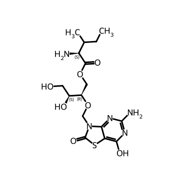 CCC(C)[C@H](N)C(=O)OC[C@@H](OCn1c(=O)sc2c(O)nc(N)nc21)[C@@H](O)CO